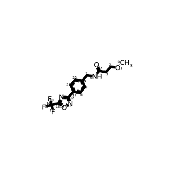 COCCC(=O)NCc1ccc(-c2noc(C(F)(F)F)n2)cc1